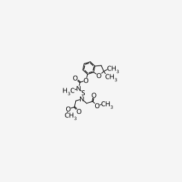 COC(=O)CN(CC(=O)OC)SN(C)C(=O)Oc1cccc2c1OC(C)(C)C2